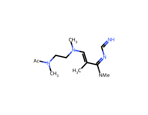 CNC(=N/C=N)/C(C)=C/N(C)CCN(C)C(C)=O